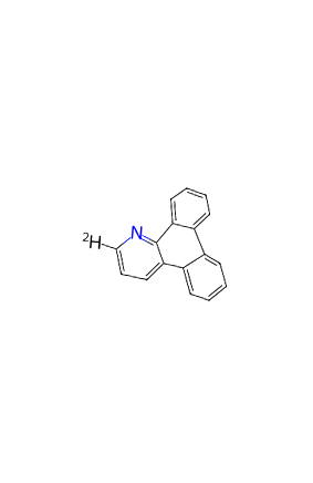 [2H]c1ccc2c3ccccc3c3ccccc3c2n1